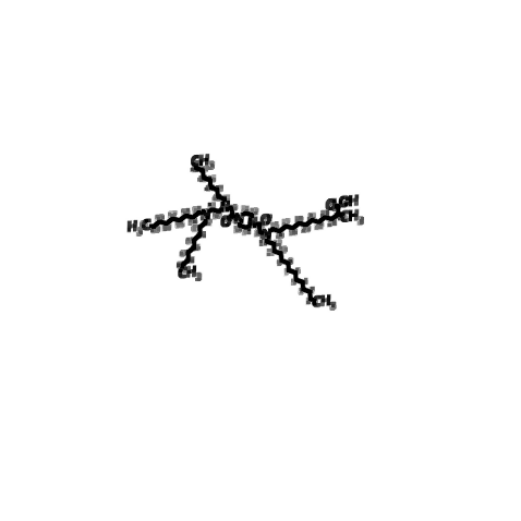 CCCCCCCCCCCCCCN(CCCCCCCCCCC(C)C(=O)O)CC(=O)N1CCN(C(=O)CN(CCCCCCCCC)CCN(CCCCCCCCC)CCCCCCCCC)CC1